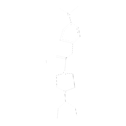 CCC(CC)N1CCN(C(=O)Cc2ccc(N(C)C)cc2)CC1.Cl